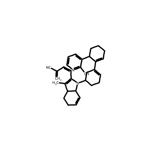 C=C(C#N)/C=C\C1=C(C)C2CCC=CC2N1C1CCC=C(C2=CCCCC2c2cccnc2C#N)C1